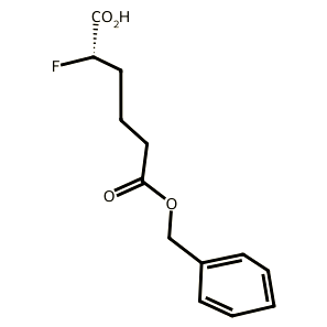 O=C(CCC[C@H](F)C(=O)O)OCc1ccccc1